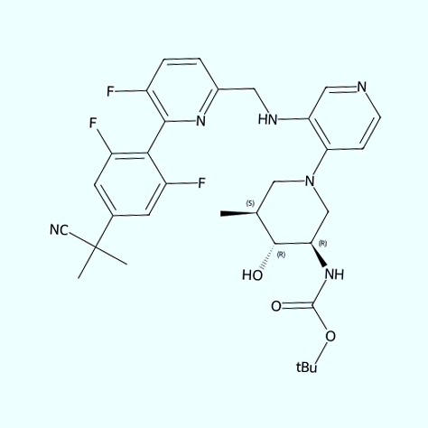 C[C@H]1CN(c2ccncc2NCc2ccc(F)c(-c3c(F)cc(C(C)(C)C#N)cc3F)n2)C[C@@H](NC(=O)OC(C)(C)C)[C@@H]1O